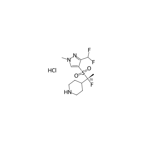 Cl.Cn1cc(S(=O)(=O)[C@](C)(F)C2CCNCC2)c(C(F)F)n1